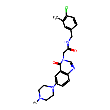 CC(=O)N1CCN(c2ccc3ncn(CC(=O)NCc4ccc(Cl)c(C(F)(F)F)c4)c(=O)c3c2)CC1